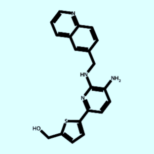 Nc1ccc(-c2ccc(CO)s2)nc1NCc1ccc2ncccc2c1